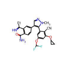 CCC(=N)c1cc(-c2cnn(C)c2-c2cc(OC(F)F)cc(OC3CC3)c2C#N)ccc1C(N)=O